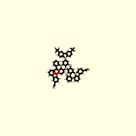 CC(C)(C)c1ccc2c(c1)c1cc(C(C)(C)C)ccc1n2-c1cc2c3c(c1)N(c1ccccc1-c1ccccc1)c1cc(-n4c5ccccc5c5cc(C#N)ccc54)ccc1B3c1c(cc(-n3c4ccccc4c4cc(C#N)ccc43)c3c1oc1ccccc13)O2